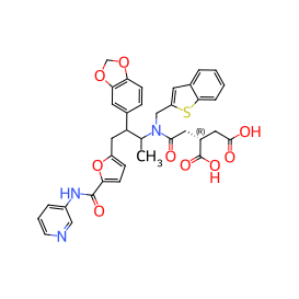 CC(C(Cc1ccc(C(=O)Nc2cccnc2)o1)c1ccc2c(c1)OCO2)N(Cc1cc2ccccc2s1)C(=O)C[C@H](CC(=O)O)C(=O)O